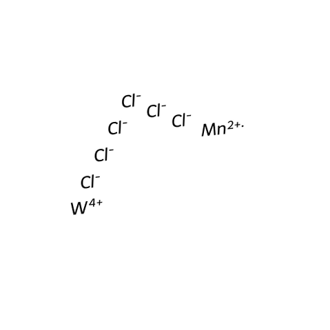 [Cl-].[Cl-].[Cl-].[Cl-].[Cl-].[Cl-].[Mn+2].[W+4]